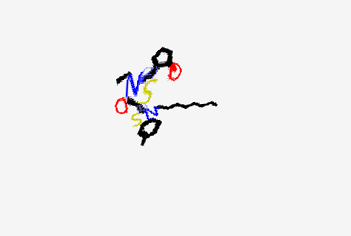 CCCCCCCCN1/C(=c2\s/c(=C3/CCCC3=O)n(CC)c2=O)Sc2cc(C)ccc21